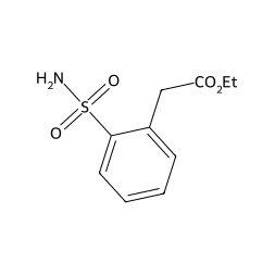 CCOC(=O)Cc1ccccc1S(N)(=O)=O